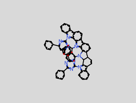 C1=CCC(n2c3c4c(ccc3c3ccc5c6ccccc6n(-c6nccc(-c7ccccc7)n6)c5c32)C2C=Cc3c(n(-c5nc(-c6ccccc6)nc(-c6ccccc6)n5)c5ccccc35)C2N4c2ccccc2)C=C1